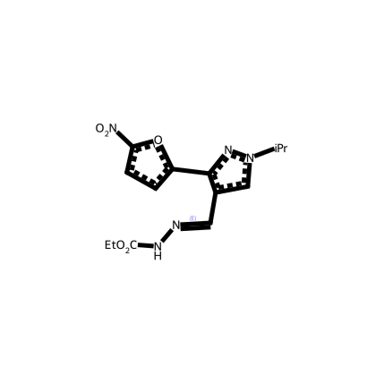 CCOC(=O)N/N=C/c1cn(C(C)C)nc1-c1ccc([N+](=O)[O-])o1